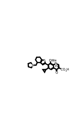 COc1c(-c2cc3c(s2)CCCC3CN2CCCC2)c(C2CC2)cc2c(=O)c(C(=O)O)c[nH]c12